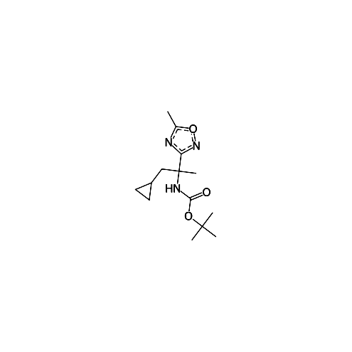 Cc1nc(C(C)(CC2CC2)NC(=O)OC(C)(C)C)no1